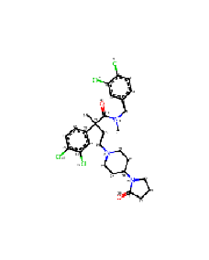 CN(Cc1ccc(Cl)c(Cl)c1)C(=O)C(C)(CCN1CCC(N2CCCC2=O)CC1)c1ccc(Cl)c(Cl)c1